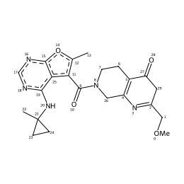 COCC1=NC2=C(CCN(C(=O)c3c(C)oc4ncnc(NC5(C)CC5)c34)C2)C(=O)C1